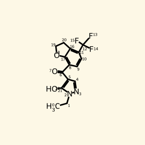 CCn1ncc(C(=O)c2ccc(C(F)(F)F)c3c2OCC3)c1O